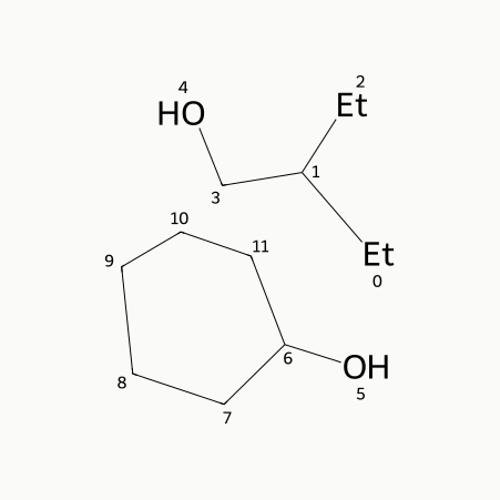 CCC(CC)CO.OC1CCCCC1